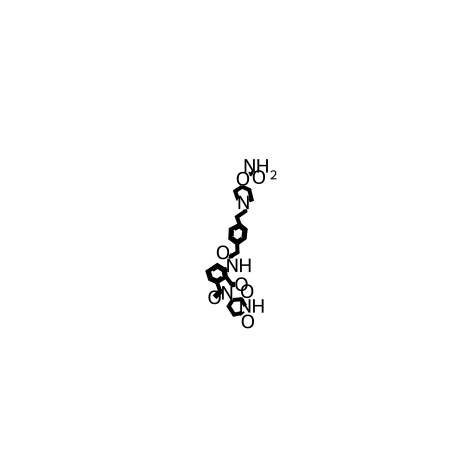 NC(=O)OC1CCN(CCc2ccc(CC(=O)Nc3cccc4c3C(=O)N(C3CCC(=O)NC3=O)C4=O)cc2)CC1